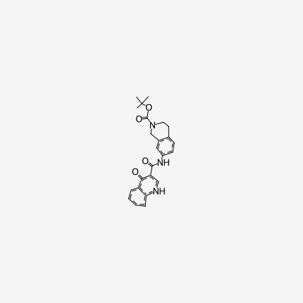 CC(C)(C)OC(=O)N1CCc2ccc(NC(=O)c3c[nH]c4ccccc4c3=O)cc2C1